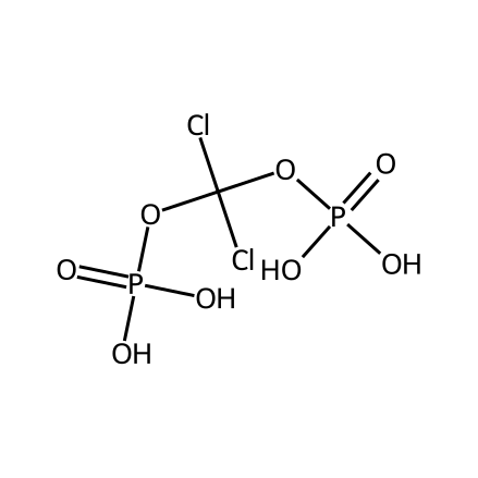 O=P(O)(O)OC(Cl)(Cl)OP(=O)(O)O